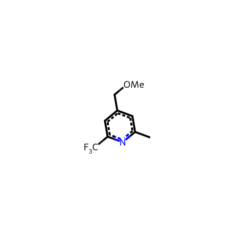 COCc1cc(C)nc(C(F)(F)F)c1